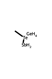 C[Te][SbH2].[GeH4]